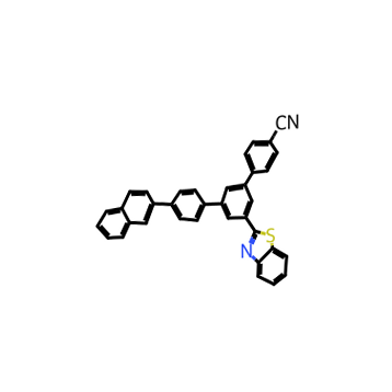 N#Cc1ccc(-c2cc(-c3ccc(-c4ccc5ccccc5c4)cc3)cc(-c3nc4ccccc4s3)c2)cc1